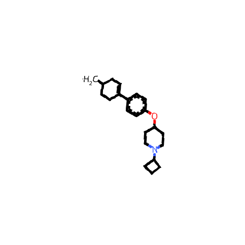 [CH2]C1CC=C(c2ccc(OC3CCN(C4CCC4)CC3)cc2)CC1